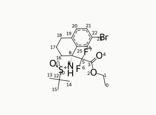 CCOC(=O)C(F)(F)[C@@]1(N[S@+]([O-])C(C)(C)C)CCCc2ccc(Br)cc21